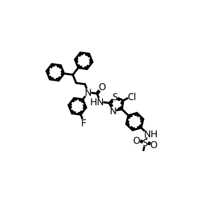 CS(=O)(=O)Nc1ccc(-c2nc(NC(=O)N(CCC(c3ccccc3)c3ccccc3)c3cccc(F)c3)sc2Cl)cc1